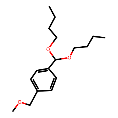 CCCCOC(OCCCC)c1ccc(COC)cc1